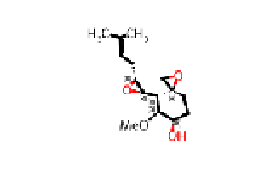 CO[C@H]1[C@H]([C@H]2O[C@@H]2CC=C(C)C)[C@]2(CC[C@H]1O)CO2